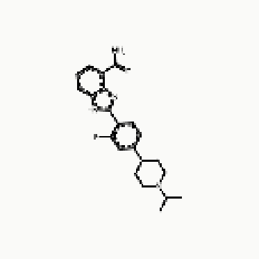 CC(C)N1CCC(c2ccc(-c3nc4c(C(N)=O)cccc4[nH]3)c(F)c2)CC1